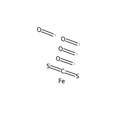 S=C=S.[C]=O.[C]=O.[C]=O.[C]=O.[Fe]